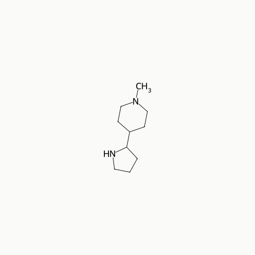 CN1CCC(C2CCCN2)CC1